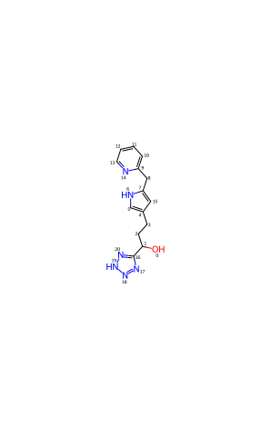 OC(CCc1c[nH]c(Cc2ccccn2)c1)c1nn[nH]n1